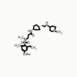 C=Cc1cc(OC)cc(C)c1S(=O)(=O)N(C)CCC(=O)N[C@H]1CC[C@@H](CCNC2CCN(C)CC2)CC1